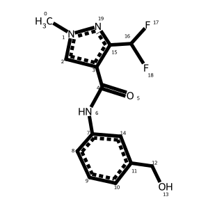 Cn1cc(C(=O)Nc2cccc(CO)c2)c(C(F)F)n1